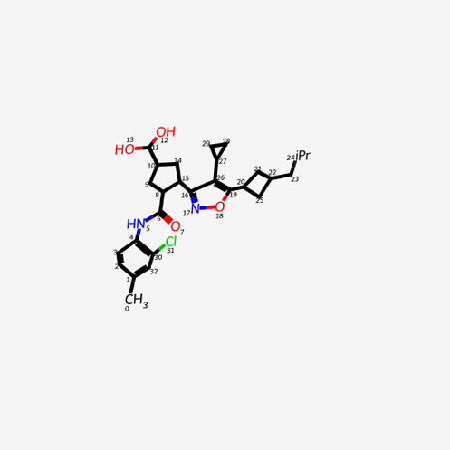 Cc1ccc(NC(=O)C2CC(C(O)O)CC2c2noc(C3CC(CC(C)C)C3)c2C2CC2)c(Cl)c1